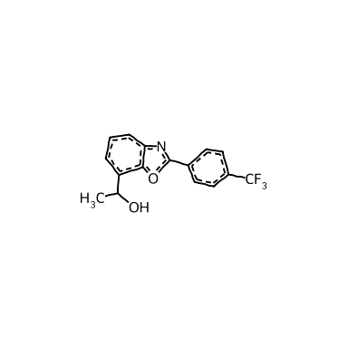 CC(O)c1cccc2nc(-c3ccc(C(F)(F)F)cc3)oc12